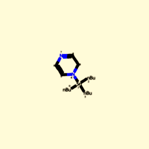 CCC[CH2][Sn]([CH2]CCC)([CH2]CCC)[N]1C=CN=CC1